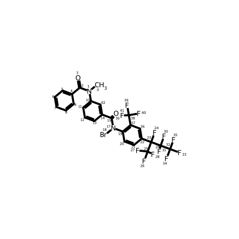 CN(C(=O)c1ccccc1)c1cccc(C(=O)N(Br)c2ccc(C(F)(C(F)(F)F)C(F)(F)C(F)(F)F)cc2C(F)(F)F)c1